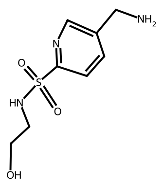 NCc1ccc(S(=O)(=O)NCCO)nc1